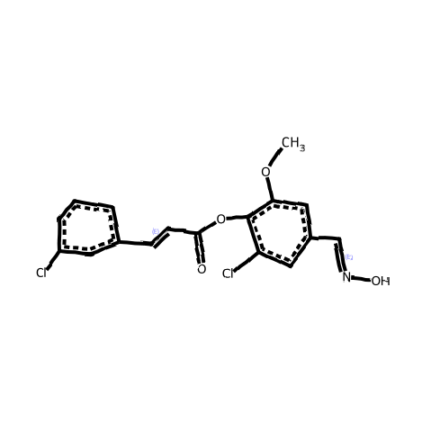 COc1cc(/C=N/O)cc(Cl)c1OC(=O)/C=C/c1cccc(Cl)c1